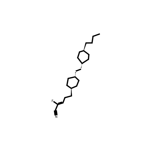 CCCC[C@H]1CC[C@H](CC[C@H]2CC[C@H](CC/C=C(\F)C#N)CC2)CC1